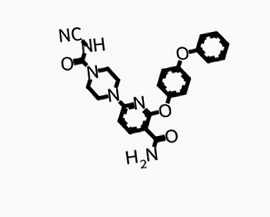 N#CNC(=O)N1CCN(c2ccc(C(N)=O)c(Oc3ccc(Oc4ccccc4)cc3)n2)CC1